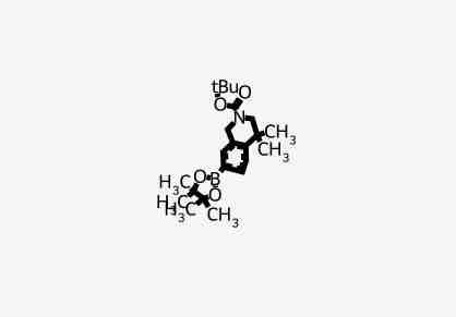 CC(C)(C)OC(=O)N1Cc2cc(B3OC(C)(C)C(C)(C)O3)ccc2C(C)(C)C1